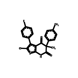 Cc1ccc(C2(C)C(=O)Nc3sc(Cl)c(-c4ccc(F)cc4)c3C2=O)cc1